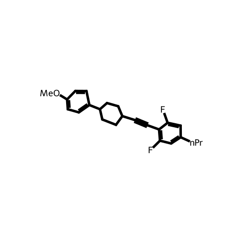 CCCc1cc(F)c(C#CC2CCC(c3ccc(OC)cc3)CC2)c(F)c1